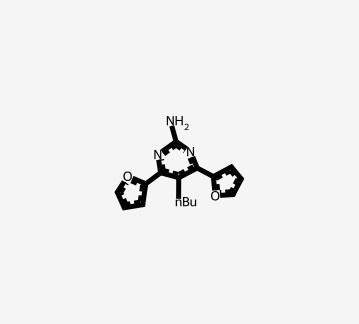 CCCCc1c(-c2ccco2)nc(N)nc1-c1ccco1